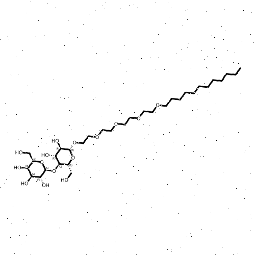 CCCCCCCCCCCCOCCOCCOCCOCCO[C@@H]1O[C@H](CO)[C@@H](O[C@@H]2O[C@H](CO)[C@H](O)[C@H](O)[C@H]2O)[C@H](O)[C@H]1O